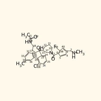 CNCc1ccc(C(=O)N2CCCC(C(O)(CCCNC(C)=O)c3cccc(Cl)c3-c3cccc(C)c3)C2)c(F)c1